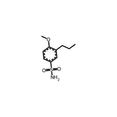 CCCc1cc(S(N)(=O)=O)ccc1OC